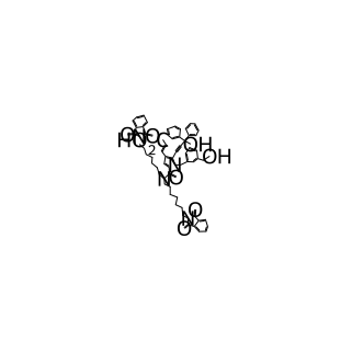 O=C(O)C=Cc1cc(C(=O)N(CCCCCCCN2C(=O)c3ccccc3C2=O)CCCCCCCN2C(=O)c3ccccc3C2=O)n(Cc2cccc(CO)c2)c1C#CC(O)(c1ccccc1)c1ccccc1